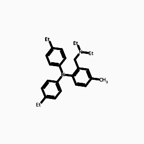 CCc1cc[c]([Bi]([c]2ccc(CC)cc2)[c]2ccc(C)cc2CN(CC)CC)cc1